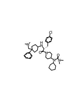 CN(C)CC1(c2ccccc2)CCC(N[C@H](Cc2ccc(Cl)cc2)C(=O)N2CCC(N(C(=O)N(C)C)C3CCCCC3)CC2)CC1